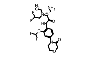 CCN(CC(F)F)[C@H](CN)C(=O)Nc1ccc(N2CCOCC2=O)cc1OC(F)F